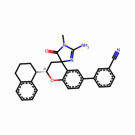 CN1C(=O)C2(C[C@@H](C3CCCc4ccccc43)Oc3ccc(-c4cccc(C#N)c4)cc32)N=C1N